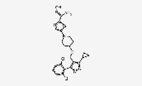 N/C(=N\O)c1ncc(N2CCC(OCc3c(-c4c(Cl)cccc4Cl)noc3C3CC3)CC2)s1